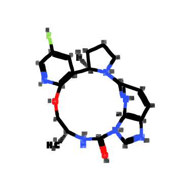 C[C@@H]1COc2ncc(F)cc2[C@H]2CCCN2c2ccc3ncn(c3n2)C(=O)N1